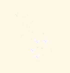 CC(Nc1ccc(C(=O)c2cccc(C#N)c2)cn1)c1cncnc1